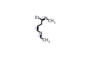 C/C=N/C=C\C/C(CC)=N\C